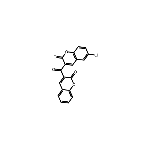 O=C(c1cc2ccccc2oc1=O)c1cc2cc(Cl)ccc2oc1=O